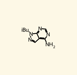 CC[C@H](C)n1ncc2c(N)ncnc21